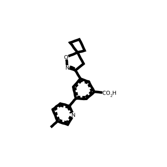 Cc1ccc(-c2cc(C(=O)O)cc(C3=NOC4(CCC4)C3)c2)nc1